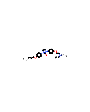 C=CCCOc1ccc(-n2ccn(-c3ccc(OCCN(C)C)cc3)c2=O)cc1